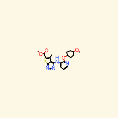 COC(=O)c1sc2ncnc(Nc3cccnc3OC3CCC(OC)CC3)c2c1C